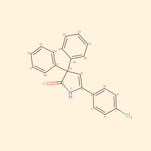 O=C1NC(c2ccc(Cl)cc2)=CC1(c1ccccc1)c1ccccc1